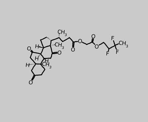 C[C@H](CCC(=O)OCC(=O)OCC(F)C(C)(F)F)[C@H]1CC[C@H]2[C@@H]3C(=O)C[C@@H]4CC(=O)CC[C@]4(C)[C@H]3CC(=O)[C@]12C